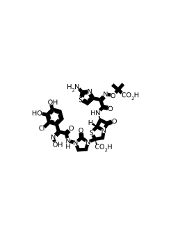 CC(C)(O/N=C(\C(=O)N[C@@H]1C(=O)N2C[C@@](C(=O)O)(N3CCN(NC(=O)/C(=N\O)c4ccc(O)c(O)c4Cl)C3=O)S[C@H]12)c1csc(N)n1)C(=O)O